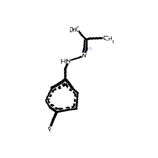 C/C(C=O)=N/Nc1ccc(F)cc1